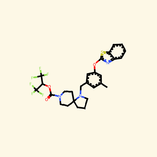 Cc1cc(CN2CCCC23CCN(C(=O)OC(C(F)(F)F)C(F)(F)F)CC3)cc(Oc2nc3ccccc3s2)c1